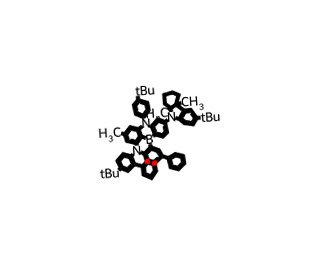 Cc1cc2c3c(c1)N(c1ccc(C(C)(C)C)cc1-c1ccccc1)c1ccc(-c4ccccc4)cc1B3c1ccc(N3c4ccc(C(C)(C)C)cc4C4(C)CCCCC34C)cc1N2c1ccc(C(C)(C)C)cc1